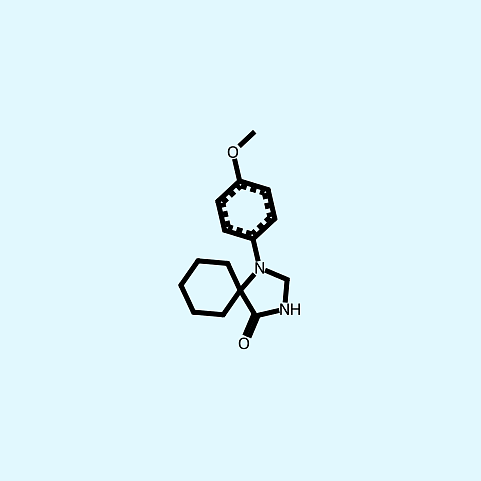 COc1ccc(N2CNC(=O)C23CCCCC3)cc1